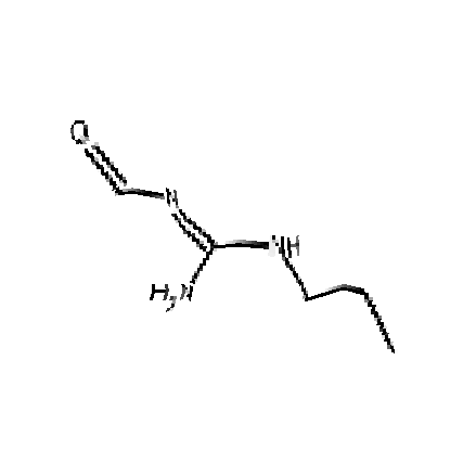 CCCN/C(N)=N/C=O